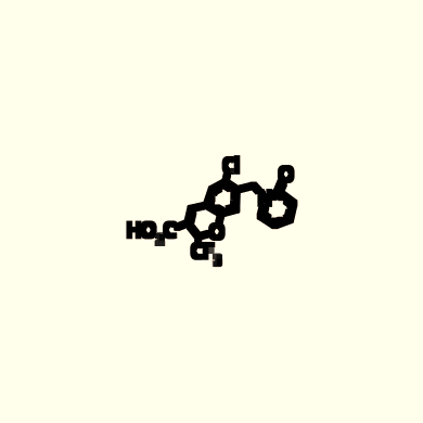 O=C(O)C1=Cc2cc(Cl)c(Cn3ccccc3=O)cc2OC1C(F)(F)F